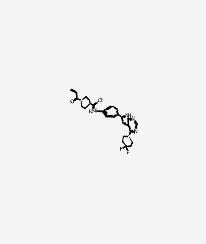 C=CC(=O)N1CCC(C(=O)Nc2ccc(-c3cc4c(N5CCC(F)(F)CC5)ncnc4[nH]3)cc2)CC1